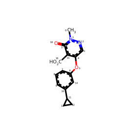 Cn1ncc(Oc2cccc(C3CC3)c2)c(C(=O)O)c1=O